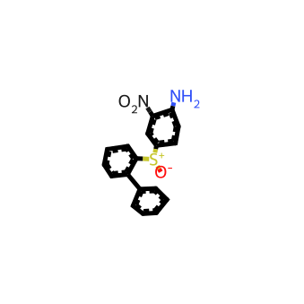 Nc1ccc([S+]([O-])c2ccccc2-c2ccccc2)cc1[N+](=O)[O-]